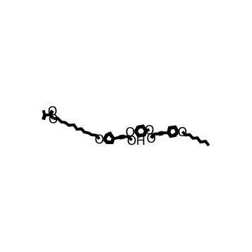 C=C(C)C(=O)OCCCCCCCCCCCOc1ccc(C#CC(O)Oc2ccc(OC(=O)C#Cc3ccc(OCCCCCCC)cc3)cc2)cc1